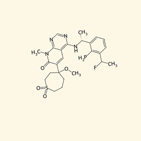 COC1(c2cc3c(N[C@H](C)c4cccc(C(C)F)c4P)ncnc3n(C)c2=O)CCCS(=O)(=O)CC1